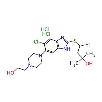 CCC(CC(C)(C)O)Sc1nc2cc(Cl)c(N3CCN(CCO)CC3)cc2[nH]1.Cl.Cl